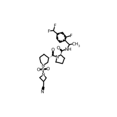 CC(NC(=O)[C@H]1CCCN1C(=O)[C@H]1CCCN(S(=O)(=O)N2CC(C#N)C2)C1)c1ccc(C(F)F)cc1F